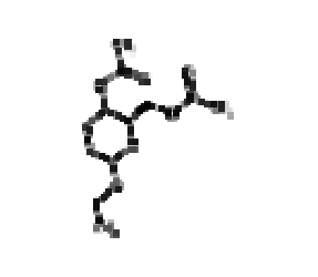 CCOC1C=CC(OC(C)=O)[C@@H](COC(C)=O)O1